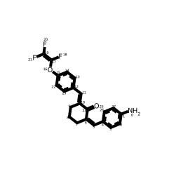 Nc1ccc(/C=C2/CCC/C(=C\c3ccc(OC(F)=C(F)F)cc3)C2=O)cc1